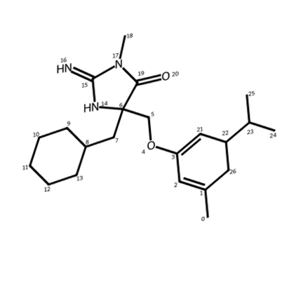 CC1=CC(OCC2(CC3CCCCC3)NC(=N)N(C)C2=O)=CC(C(C)C)C1